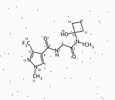 CN(C(=O)CNC(=O)c1cn(C)nc1C(F)(F)F)C1(O)CCC1